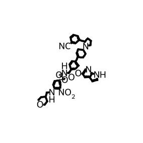 N#Cc1cccc(C2CCCN2C2CC=C(c3ccc(C(=O)NS(=O)(=O)c4ccc(NCC5CCOCC5)c([N+](=O)[O-])c4)c(Oc4cnc5[nH]ccc5c4)c3)CC2)c1